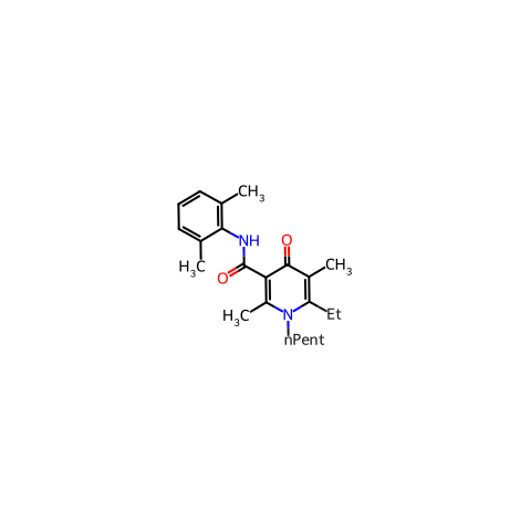 CCCCCn1c(C)c(C(=O)Nc2c(C)cccc2C)c(=O)c(C)c1CC